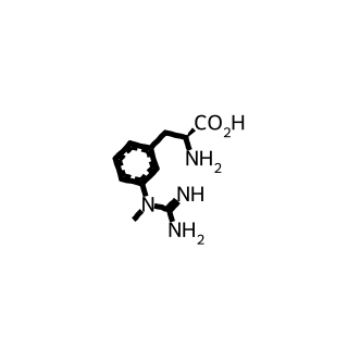 CN(C(=N)N)c1cccc(C[C@H](N)C(=O)O)c1